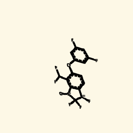 [O-][S+]1c2c(ccc(Oc3cc(F)cc(F)c3)c2C(F)F)[C@@H](F)C1(F)F